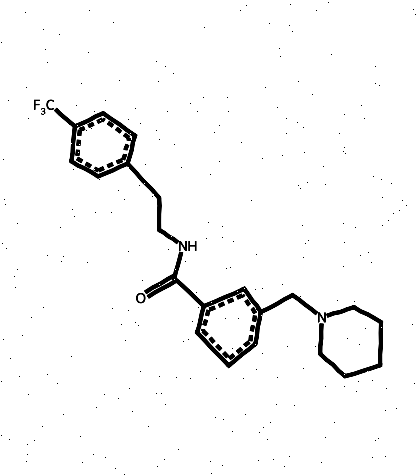 O=C(NCCc1ccc(C(F)(F)F)cc1)c1cccc(CN2CCCCC2)c1